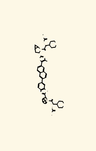 COC(=O)N[C@H](C(=O)N1[C@H](c2nc3ccc(-c4ccc5cc(-c6[nH]c([C@@H]7C[C@H]8C[C@H]8N7C(=O)[C@@H](NC(=O)OC)C7CCOCC7)nc6Cl)ccc5c4)cc3[nH]2)C2[C@@H]3[C@H]1[C@]23C)C1CCOCC1